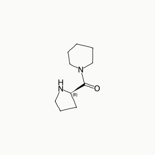 O=C([C@H]1CCCN1)N1CCCCC1